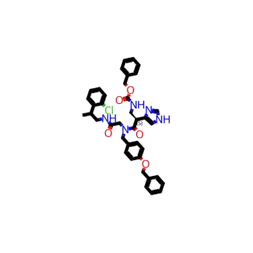 CC(CNC(=O)CN(Cc1ccc(OCc2ccccc2)cc1)C(=O)[C@@H](CNC(=O)OCc1ccccc1)c1c[nH]cn1)c1ccccc1Cl